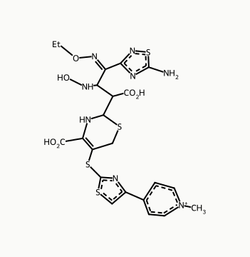 CCO/N=C(/c1nsc(N)n1)C(NO)C(C(=O)O)C1NC(C(=O)O)=C(Sc2nc(-c3cc[n+](C)cc3)cs2)CS1